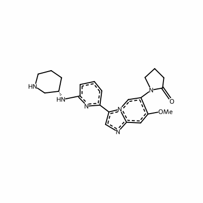 COc1cc2ncc(-c3cccc(N[C@H]4CCCNC4)n3)n2cc1N1CCCC1=O